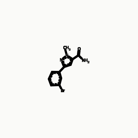 Cn1nc(-c2cccc(Br)c2)cc1C(N)=O